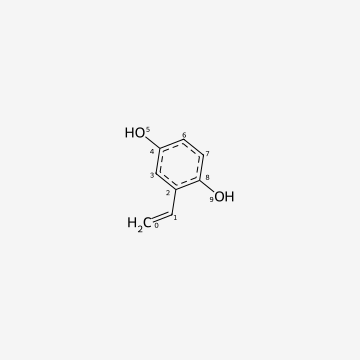 C=Cc1cc(O)ccc1O